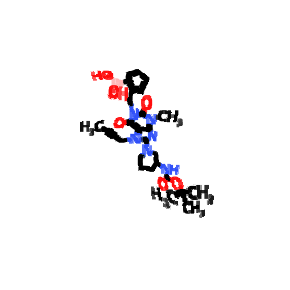 CC#CCn1c(N2CCCC(NC(=O)OC(C)(C)C)C2)nc2c1c(=O)n(Cc1ccccc1B(O)O)c(=O)n2C